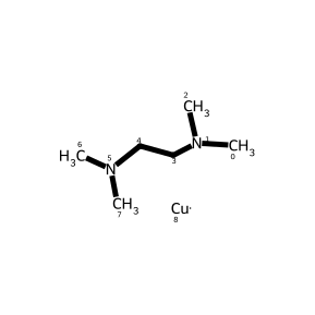 CN(C)CCN(C)C.[Cu]